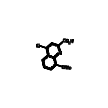 COc1cccc2c(Cl)cc(C(=O)O)nc12